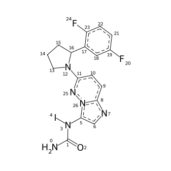 NC(=O)N(I)c1cnc2ccc(N3CCCC3c3cc(F)ccc3F)nn12